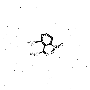 [CH2]c1cccc([SH](=O)=O)c1C(=O)OC